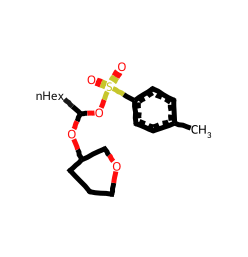 CCCCCCC(OC1CCCOC1)OS(=O)(=O)c1ccc(C)cc1